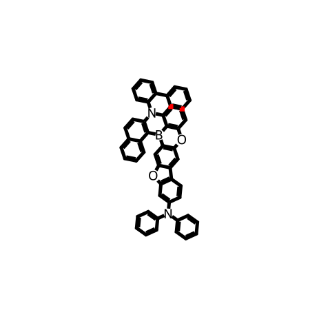 c1ccc(-c2ccccc2N2c3cccc4c3B(c3cc5oc6cc(N(c7ccccc7)c7ccccc7)ccc6c5cc3O4)c3c2ccc2ccccc32)cc1